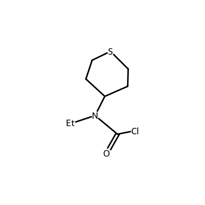 CCN(C(=O)Cl)C1CCSCC1